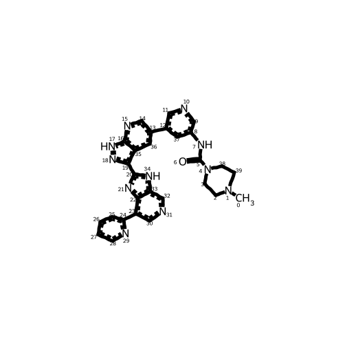 CN1CCN(C(=O)Nc2cncc(-c3cnc4[nH]nc(-c5nc6c(-c7ccccn7)cncc6[nH]5)c4c3)c2)CC1